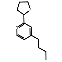 CCCCc1ccnc(C2CCCS2)c1